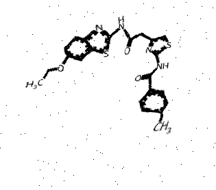 CCOc1ccc2nc(NC(=O)Cc3csc(NC(=O)c4ccc(C)cc4)n3)sc2c1